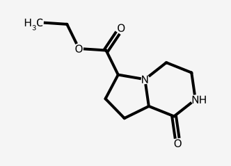 CCOC(=O)C1CCC2C(=O)NCCN21